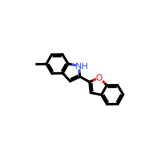 Cc1ccc2[nH]c(-c3cc4ccccc4o3)cc2c1